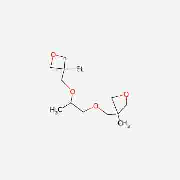 CCC1(COC(C)COCC2(C)COC2)COC1